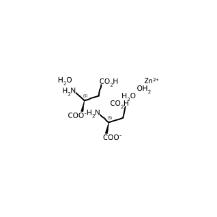 N[C@@H](CC(=O)O)C(=O)[O-].N[C@@H](CC(=O)O)C(=O)[O-].O.O.O.[Zn+2]